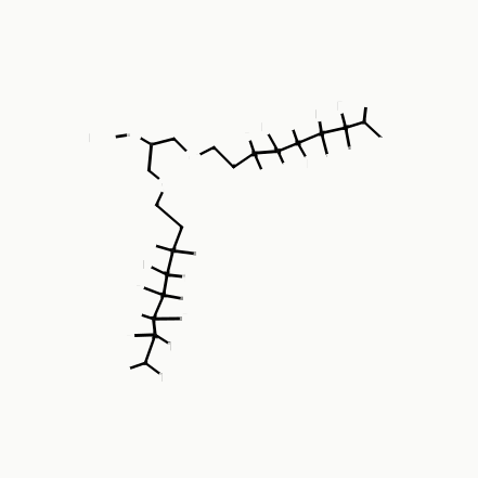 COC(COCCC(F)(F)C(F)(F)C(F)(F)C(F)(F)C(F)(F)C(F)F)COCCC(F)(F)C(F)(F)C(F)(F)C(F)(F)C(F)(F)C(F)F